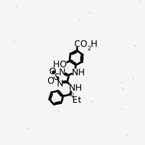 CC[C@@H](NC1=NS(=O)(=O)N=C1Nc1ccc(C(=O)O)cc1O)c1ccccc1